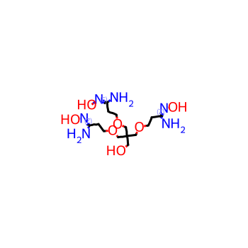 N/C(CCOCC(CO)(COCC/C(N)=N/O)COCC/C(N)=N\O)=N\O